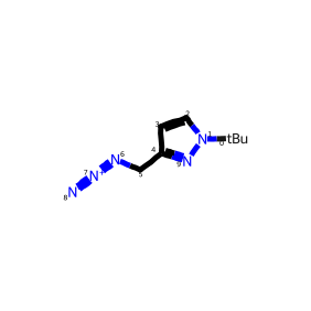 CC(C)(C)n1ccc(CN=[N+]=[N-])n1